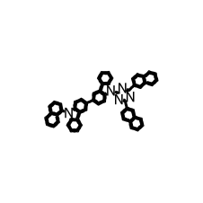 c1ccc2cc(-c3nc(-c4ccc5ccccc5c4)nc(-n4c5ccccc5c5cc(-c6ccc7c(c6)c6ccccc6n7-c6cccc7ccccc67)ccc54)n3)ccc2c1